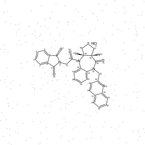 Cl.O=C1c2ccccc2C(=O)N1CC(=O)N1c2ccccc2N(Cc2ccc3ccccc3n2)C(=O)[C@H]2CCC[C@H]21